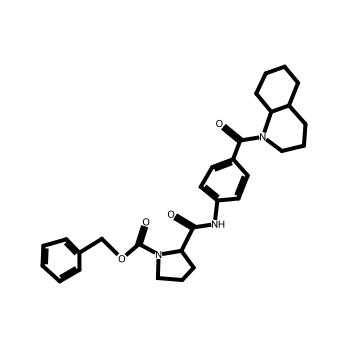 O=C(Nc1ccc(C(=O)N2CCCC3CCCCC32)cc1)C1CCCN1C(=O)OCc1ccccc1